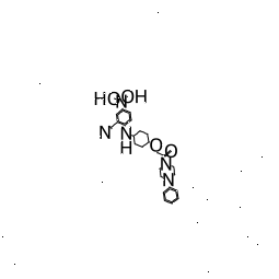 N#Cc1cc(N(O)O)ccc1NC1CCC(OCC(=O)N2CCN(c3ccccc3)CC2)CC1